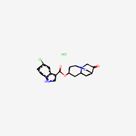 Cl.O=C(OC1CC2CC3CC(C1)N2CC3=O)c1c[nH]c2ccc(Cl)cc12